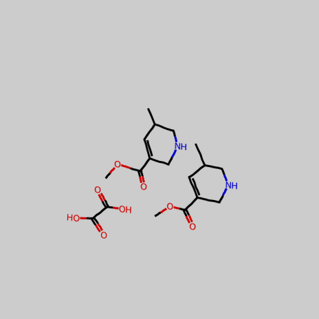 COC(=O)C1=CC(C)CNC1.COC(=O)C1=CC(C)CNC1.O=C(O)C(=O)O